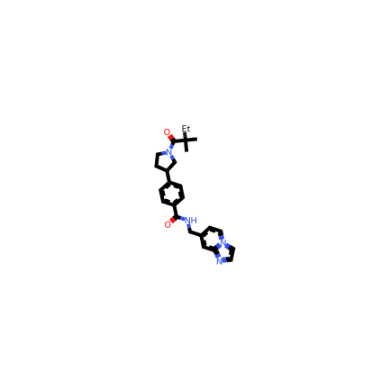 CCC(C)(C)C(=O)N1CCC(c2ccc(C(=O)NCc3ccn4ccnc4c3)cc2)C1